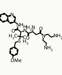 COc1ccc(CSC(C)(C)[C@H](NC(=O)[C@@H](N)CC(=O)N(CCN)CCN)C(=O)Nc2cnc3ccccc3c2)cc1